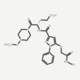 CCOC(=O)ON1CCN(C(=O)[C@H](CCC(=O)O)NC(=O)c2cc(OCC(=O)NC(C)C)n(-c3ccccc3)n2)CC1